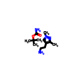 CC(C)(C)OC(N)=O.Cc1nn(C)cc1CCN